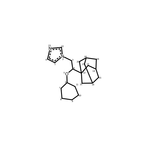 c1cn(CC(OC2CCCCC2)C23CC4CC(CC(C4)C2)C3)cn1